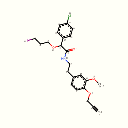 C#CCOc1ccc(CCNC(=O)C(OCCCI)c2ccc(Cl)cc2)cc1OC